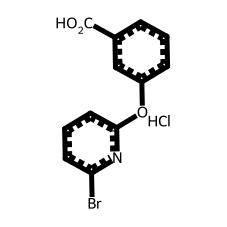 Cl.O=C(O)c1cccc(Oc2cccc(Br)n2)c1